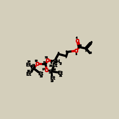 C=C(C)C(=O)OCCC[SiH2]OC(O[Si](CC)(CC)CC)O[Si](CC)(CC)CC